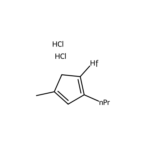 CCCC1=[C]([Hf])CC(C)=C1.Cl.Cl